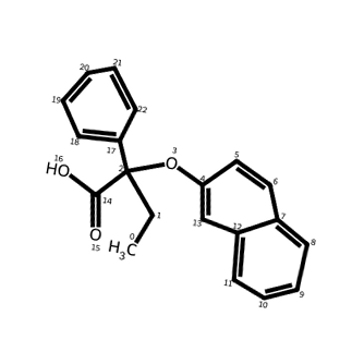 CCC(Oc1ccc2ccccc2c1)(C(=O)O)c1ccccc1